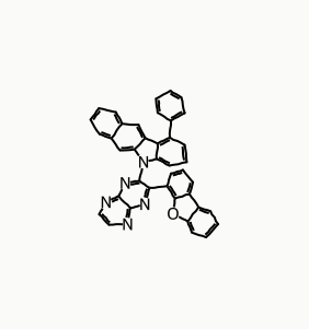 c1ccc(-c2cccc3c2c2cc4ccccc4cc2n3-c2nc3nccnc3nc2-c2cccc3c2oc2ccccc23)cc1